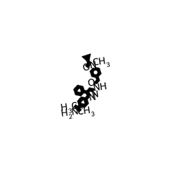 CN(C(=O)C1CC1)C1CCC(CC(=O)Nc2cc(-c3ccccc3)c(-c3ccc(C(C)(C)N)cc3)nn2)CC1